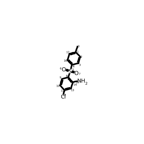 Cc1ccc(S(=O)(=O)c2ccc(Cl)cc2N)cc1